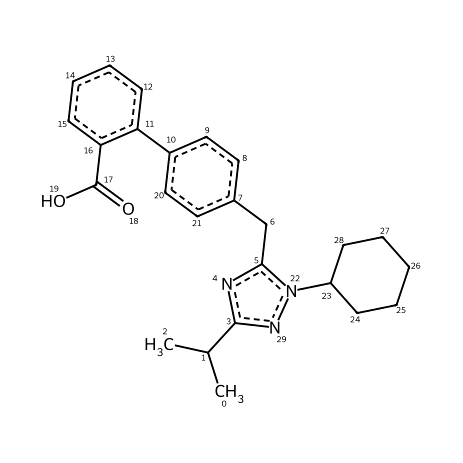 CC(C)c1nc(Cc2ccc(-c3ccccc3C(=O)O)cc2)n(C2CCCCC2)n1